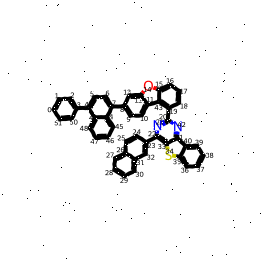 c1ccc(-c2ccc(-c3ccc4c(c3)oc3cccc(-c5nc(-c6ccc7ccccc7c6)c6sc7ccccc7c6n5)c34)c3ccccc23)cc1